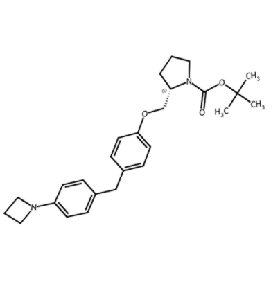 CC(C)(C)OC(=O)N1CCC[C@H]1COc1ccc(Cc2ccc(N3CCC3)cc2)cc1